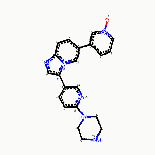 [O-][n+]1cccc(-c2ccc3ncc(-c4ccc(N5CCNCC5)nc4)n3c2)c1